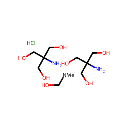 CNCO.Cl.NC(CO)(CO)CO.NC(CO)(CO)CO